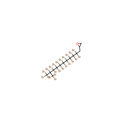 BrC(Br)(Br)C(Br)(C(Br)(Br)Br)C(Br)(Br)C(Br)(Br)C(Br)(Br)C(Br)(Br)C(Br)(Br)C(Br)(Br)C(Br)(Br)C(Br)(Br)CC1CO1